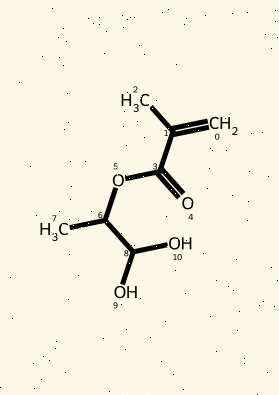 C=C(C)C(=O)OC(C)C(O)O